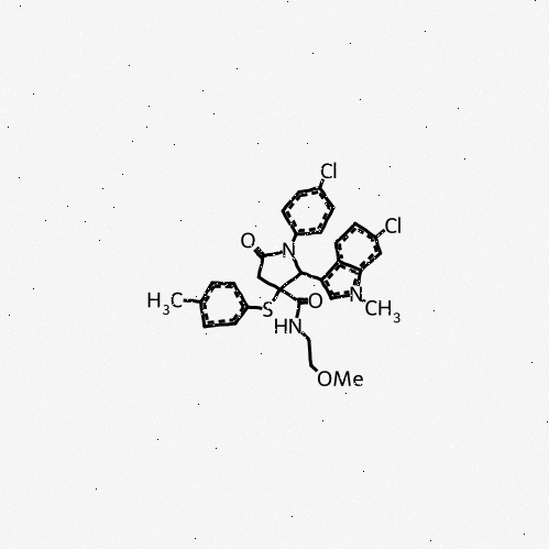 COCCNC(=O)C1(Sc2ccc(C)cc2)CC(=O)N(c2ccc(Cl)cc2)C1c1cn(C)c2cc(Cl)ccc12